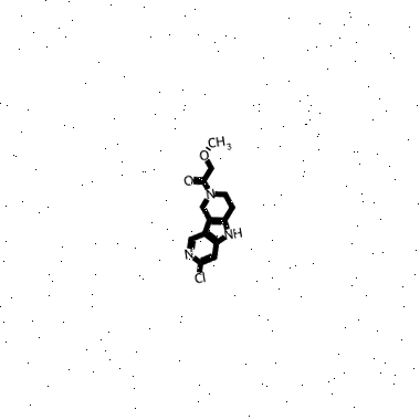 COCC(=O)N1CCc2[nH]c3cc(Cl)ncc3c2C1